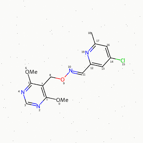 COc1ncnc(OC)c1CON=Cc1cc(Cl)cc(C)n1